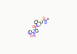 COc1ncccc1Nc1cccc(C(=O)N2CCc3cc(C(=O)NC4CC4)sc3-c3ccccc32)n1